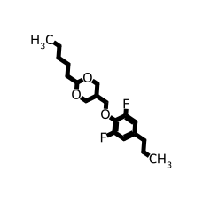 CCCCCC1OCC(COc2c(F)cc(CCC)cc2F)CO1